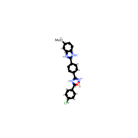 COc1ccc2[nH]c(-c3ccc(-c4noc(-c5ccc(Cl)cc5)n4)cc3)nc2c1